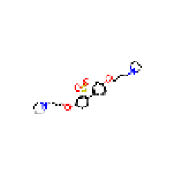 O=S1(=O)c2cc(OCCCN3CCCC3)ccc2-c2ccc(OCCCN3CCCC3)cc21